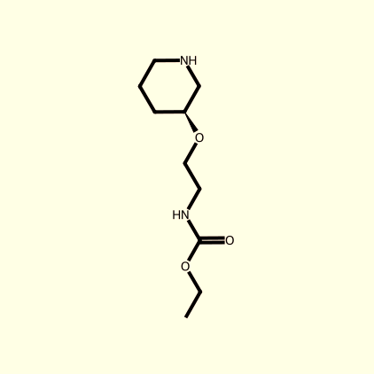 CCOC(=O)NCCO[C@H]1CCCNC1